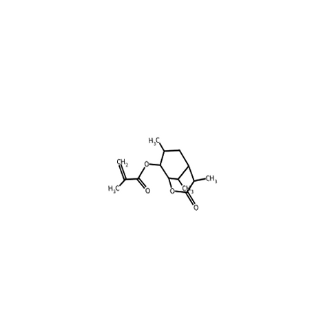 C=C(C)C(=O)OC1C(C)CC2C(C)C(=O)OC1C2C